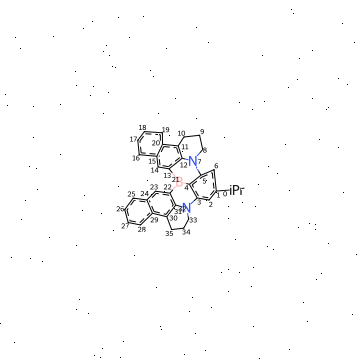 CC(C)c1cc2c3c(c1)N1CCCc4c1c(cc1ccccc41)B3c1cc3ccccc3c3c1N2CCC3